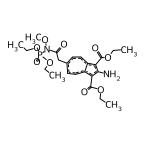 CCOC(=O)c1c2ccc(CC(=O)N(OC)P(=O)(OCC)OCC)ccc-2c(C(=O)OCC)c1N